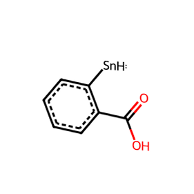 O=C(O)c1cccc[c]1[SnH]